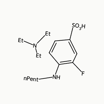 CCCCCNc1ccc(S(=O)(=O)O)cc1F.CCN(CC)CC